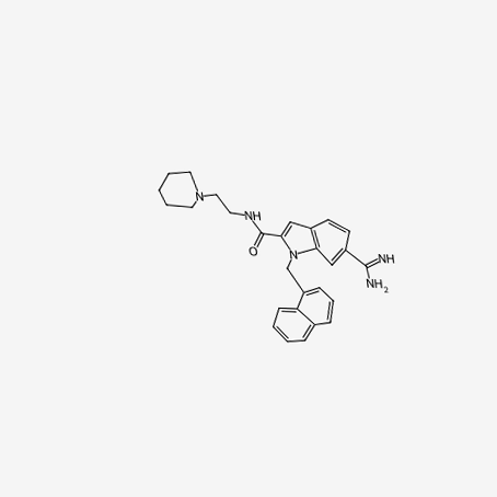 N=C(N)c1ccc2cc(C(=O)NCCN3CCCCC3)n(Cc3cccc4ccccc34)c2c1